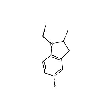 CCN1c2ccc(F)cc2CC1C